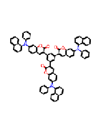 O=c1oc2cc(N(c3ccccc3)c3cccc4ccccc34)ccc2cc1-c1cc(-c2cc3ccc(N(c4ccccc4)c4cccc5ccccc45)cc3oc2=O)cc(-c2cc3ccc(N(c4ccccc4)c4cccc5ccccc45)cc3oc2=O)c1